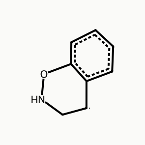 [CH]1CNOc2ccccc21